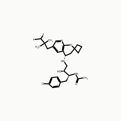 CC(=O)N[C@@H](Cc1ccc(Cl)cc1)[C@@H](O)CN[C@H]1CC2(CCC2)Oc2ncc(CC(C)(C)C(F)F)cc21